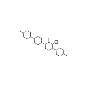 CC1CCC(C2CCC(C3CCC(C4CCC(C)CC4)C(Cl)C3C)CC2)CC1